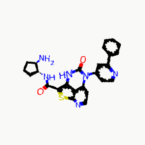 N[C@@H]1CCC[C@H]1NC(=O)c1sc2nccc3c2c1NC(=O)N3c1ccnc(-c2ccccc2)c1